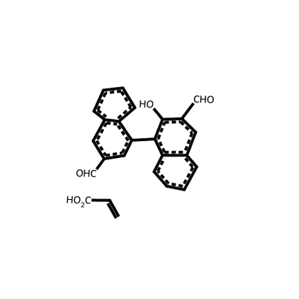 C=CC(=O)O.O=Cc1cc(-c2c(O)c(C=O)cc3ccccc23)c2ccccc2c1